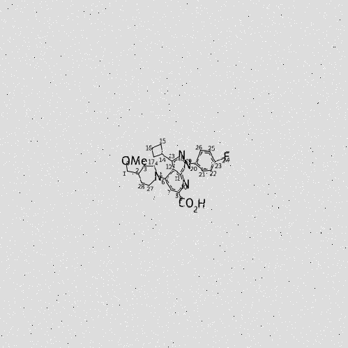 COCC1CCN(c2cc(C(=O)O)nc3c2c(C2CCC2)nn3-c2ccc(F)cc2)CC1